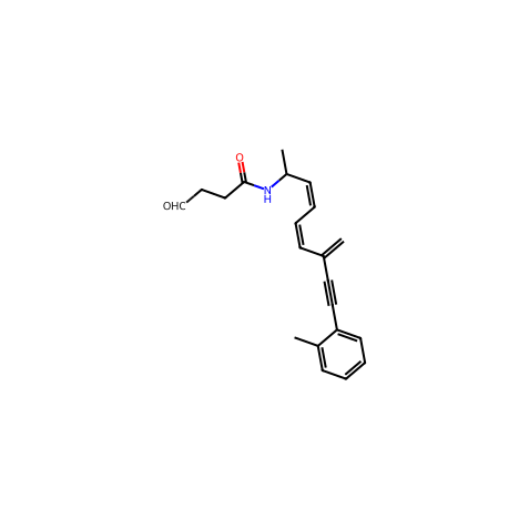 C=C(C#Cc1ccccc1C)/C=C\C=C/C(C)NC(=O)CCC=O